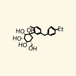 CCc1ccc(Cc2ccc(C)c([C@]3(O)C[C@H](CO)[C@@H](O)[C@H](O)[C@H]3O)c2)cc1